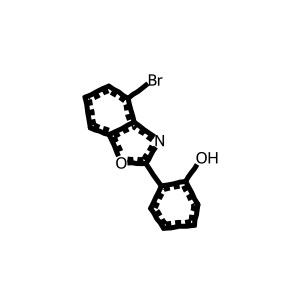 Oc1ccccc1-c1nc2c(Br)cccc2o1